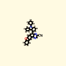 N#Cc1cnc2c(n1)c(-c1cccc3c1c1ccccc1n3-c1ccccc1)cc1cc3oc4ccccc4c3cc12